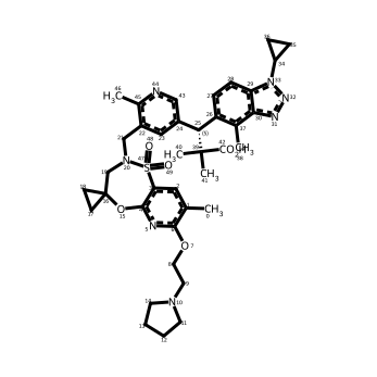 Cc1cc2c(nc1OCCN1CCCC1)OC1(CC1)CN(Cc1cc([C@H](c3ccc4c(nnn4C4CC4)c3C)C(C)(C)C(=O)O)cnc1C)S2(=O)=O